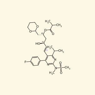 CC(C)C(=O)O[C@@H](CC1OCCCO1)C[C@H](O)/C=C/c1c(-c2ccc(F)cc2)nc(N(C)S(C)(=O)=O)nc1C(C)C